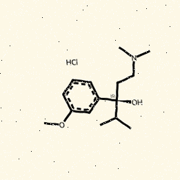 COc1cccc([C@](O)(CCN(C)C)C(C)C)c1.Cl